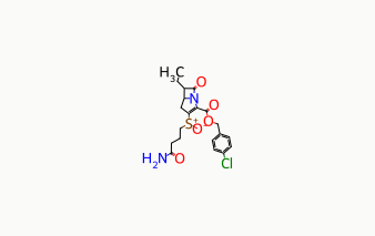 CCC1C(=O)N2C(C(=O)OCc3ccc(Cl)cc3)=C([S+]([O-])CCCC(N)=O)CC12